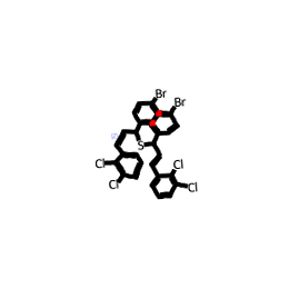 Clc1cccc(C=CC(SC(/C=C\c2cccc(Cl)c2Cl)c2ccc(Br)cc2)c2ccc(Br)cc2)c1Cl